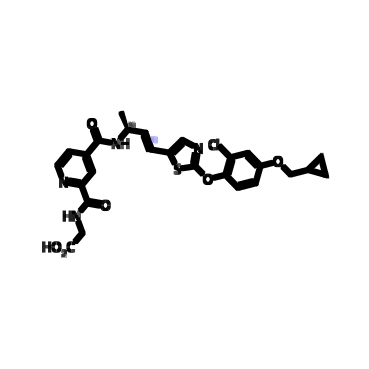 C[C@@H](/C=C/c1cnc(Oc2ccc(OCC3CC3)cc2Cl)s1)NC(=O)c1ccnc(C(=O)NCC(=O)O)c1